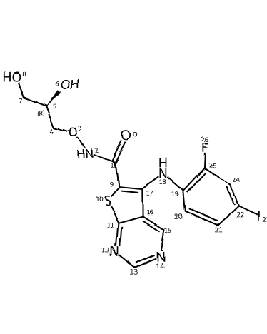 O=C(NOC[C@H](O)CO)c1sc2ncncc2c1Nc1ccc(I)cc1F